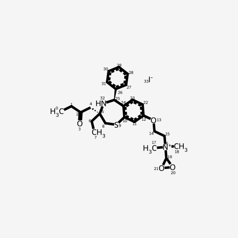 CCC(=O)C[C@@]1(CC)CSc2cc(OCC[N+](C)(C)C3OO3)ccc2[C@H](c2ccccc2)N1.[I-]